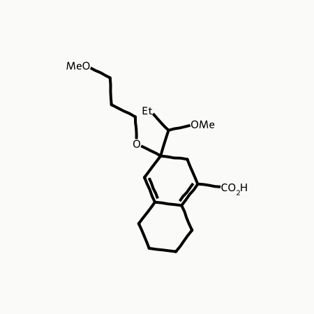 CCC(OC)C1(OCCCOC)C=C2CCCCC2=C(C(=O)O)C1